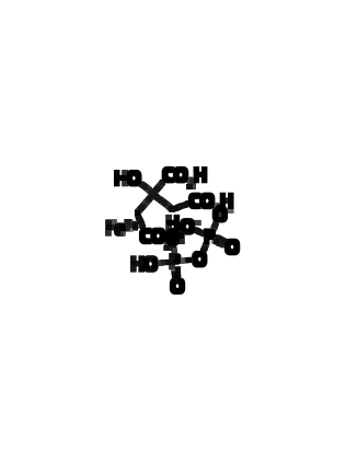 O=C(O)CC(O)(CC(=O)O)C(=O)O.O=P([O-])([O-])OP(=O)(O)O.[Fe+2]